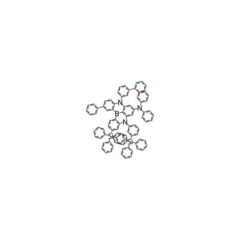 c1ccc(-c2cccc(N3c4ccc(-c5ccccc5)cc4B4c5ccc([Si](c6ccccc6)(c6ccccc6)c6ccccc6)cc5N(c5cccc([Si](c6ccccc6)(c6ccccc6)c6ccccc6)c5)c5cc(N(c6ccccc6)c6ccccc6)cc3c54)c2)cc1